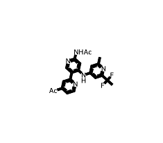 CC(=O)Nc1cc(Nc2cc(C)nc(C(C)(F)F)c2)c(-c2cc(C(C)=O)ccn2)cn1